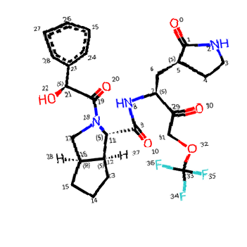 O=C1NCC[C@H]1C[C@H](NC(=O)[C@@H]1[C@H]2CCC[C@H]2CN1C(=O)[C@@H](O)c1ccccc1)C(=O)COC(F)(F)F